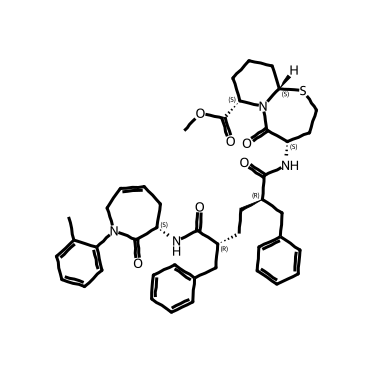 COC(=O)[C@@H]1CCC[C@@H]2SCC[C@H](NC(=O)[C@H](CC[C@H](Cc3ccccc3)C(=O)N[C@H]3CC=CCN(c4ccccc4C)C3=O)Cc3ccccc3)C(=O)N21